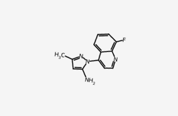 Cc1cc(N)n(-c2ccnc3c(F)cccc23)n1